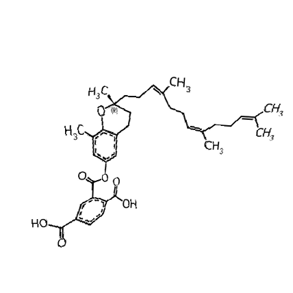 CC(C)=CCCC(C)=CCCC(C)=CCC[C@]1(C)CCc2cc(OC(=O)c3cc(C(=O)O)ccc3C(=O)O)cc(C)c2O1